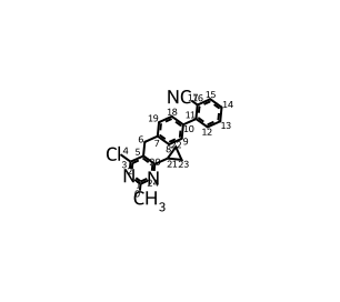 Cc1nc(Cl)c(Cc2ccc(-c3ccccc3C#N)cc2)c(C2CC2)n1